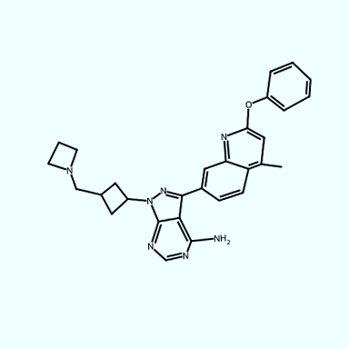 Cc1cc(Oc2ccccc2)nc2cc(-c3nn(C4CC(CN5CCC5)C4)c4ncnc(N)c34)ccc12